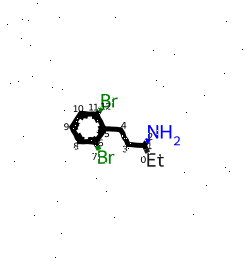 CCC(N)CCc1c(Br)cccc1Br